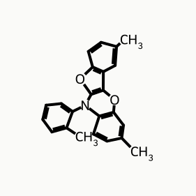 Cc1ccc2c(c1)Oc1c(oc3ccc(C)cc13)N2c1ccccc1C